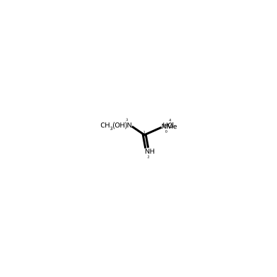 CNC(=N)N(C)O.Cl